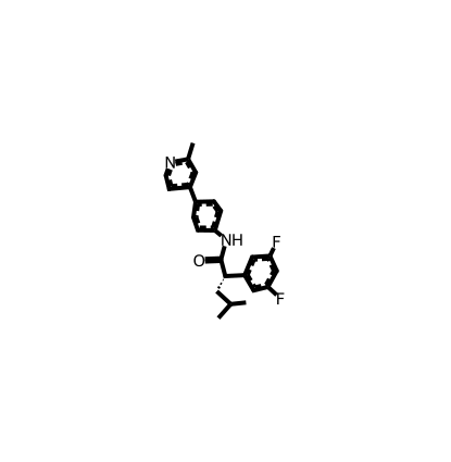 Cc1cc(-c2ccc(NC(=O)[C@@H](CC(C)C)c3cc(F)cc(F)c3)cc2)ccn1